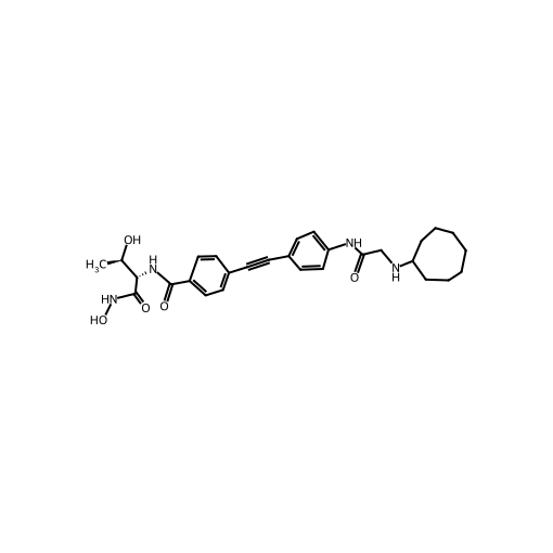 C[C@@H](O)[C@H](NC(=O)c1ccc(C#Cc2ccc(NC(=O)CNC3CCCCCCC3)cc2)cc1)C(=O)NO